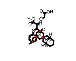 CCCC1CCC[C@H](N2[C@@H]3CCC[C@H]2C[C@@H](n2c(=O)c(/C(=N/OCC(=O)O)C(N)=O)nc4ccccc42)C3)C1